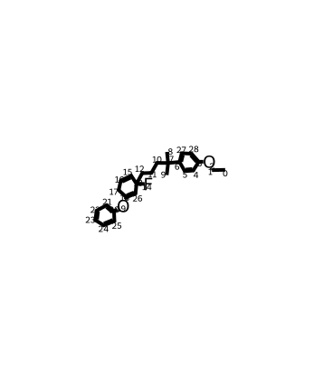 CCOc1ccc(C(C)(C)CCCC2(F)C=CCC(Oc3ccccc3)=C2)cc1